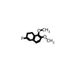 COc1ccc2c(c1OC)CCC(F)=C2